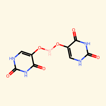 O=c1[nH]cc(OBOc2c[nH]c(=O)[nH]c2=O)c(=O)[nH]1